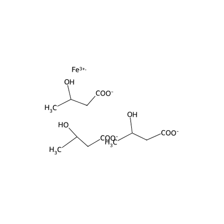 CC(O)CC(=O)[O-].CC(O)CC(=O)[O-].CC(O)CC(=O)[O-].[Fe+3]